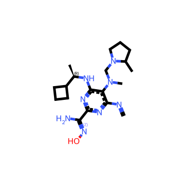 C=Nc1nc(/C(N)=N/O)nc(N[C@H](C)C2CCC2)c1N(C)CN1CCCC1C